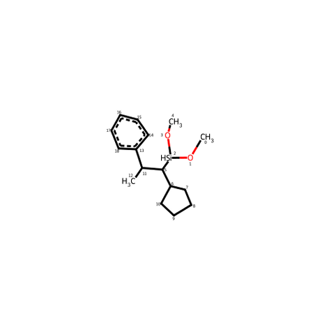 CO[SiH](OC)C(C1CCCC1)C(C)c1ccccc1